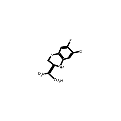 O=C(O)/C(=C1/CSc2cc(F)c(Cl)cc2N1)[N+](=O)[O-]